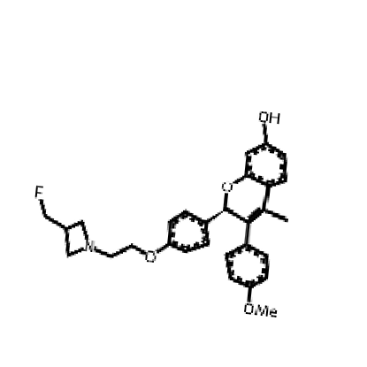 COc1ccc(C2=C(C)c3ccc(O)cc3O[C@@H]2c2ccc(OCCN3CC(CF)C3)cc2)cc1